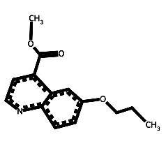 CCCOc1ccc2nccc(C(=O)OC)c2c1